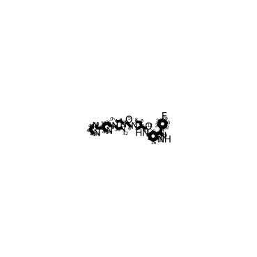 C[C@@H]1CN(C(=O)CN2CCC(C(=O)Nc3ccc4[nH]nc(-c5ccc(F)cc5)c4c3)C2)[C@@H](C)CN1c1ccc(-c2ncccn2)cn1